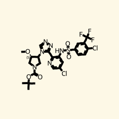 CO[C@H]1CN(C(=O)OC(C)(C)C)CC1n1cnnc1-c1ncc(Cl)cc1NS(=O)(=O)c1ccc(Cl)c(C(F)(F)F)c1